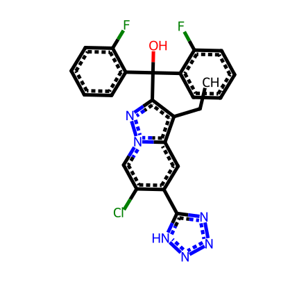 CCc1c(C(O)(c2ccccc2F)c2ccccc2F)nn2cc(Cl)c(-c3nnn[nH]3)cc12